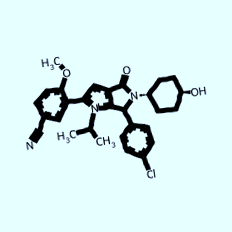 COc1ccc(C#N)cc1-c1cc2c(n1C(C)C)C(c1ccc(Cl)cc1)N([C@H]1CC[C@H](O)CC1)C2=O